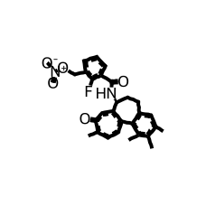 Cc1cc2c(c(C)c1C)-c1ccc(C)c(=O)cc1[C@@H](NC(=O)c1cccc(CO[N+](=O)[O-])c1F)CC2